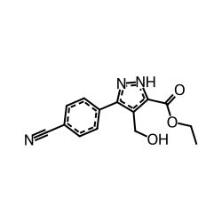 CCOC(=O)c1[nH]nc(-c2ccc(C#N)cc2)c1CO